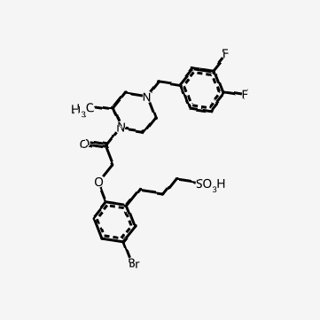 CC1CN(Cc2ccc(F)c(F)c2)CCN1C(=O)COc1ccc(Br)cc1CCCS(=O)(=O)O